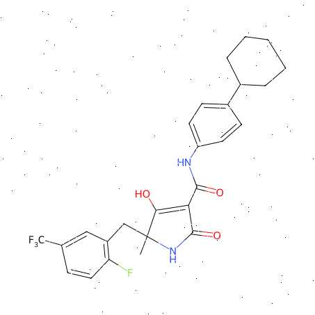 CC1(Cc2cc(C(F)(F)F)ccc2F)NC(=O)C(C(=O)Nc2ccc(C3CCCCC3)cc2)=C1O